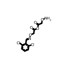 NOCC(=O)OC(=O)CON=Cc1c(Cl)cccc1Cl